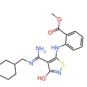 COC(=O)c1ccccc1Nc1snc(O)c1C(N)=NCC1CCCCC1